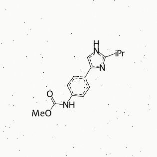 COC(=O)Nc1ccc(-c2c[nH]c(C(C)C)n2)cc1